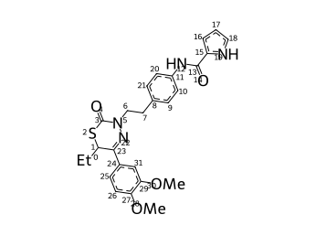 CCC1SC(=O)N(CCc2ccc(NC(=O)c3ccc[nH]3)cc2)N=C1c1ccc(OC)c(OC)c1